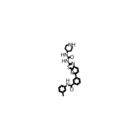 Cc1cccc(NC(=O)c2cccc(-c3ccc4nc(NC(=O)NC5CCNCC5)sc4n3)c2)c1